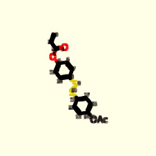 C=CC(=O)Oc1ccc(SSc2ccc(OC(C)=O)cc2)cc1